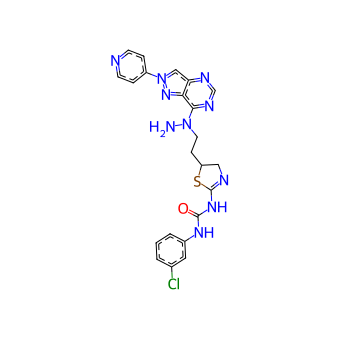 NN(CCC1CN=C(NC(=O)Nc2cccc(Cl)c2)S1)c1ncnc2cn(-c3ccncc3)nc12